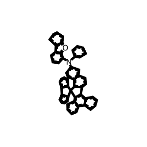 c1ccc(N(c2ccc3c4c(ccc3c2)-c2c(c3ccccc3c3ccccc23)C42c3ccccc3-c3ccccc32)c2cccc3c2oc2ccccc23)cc1